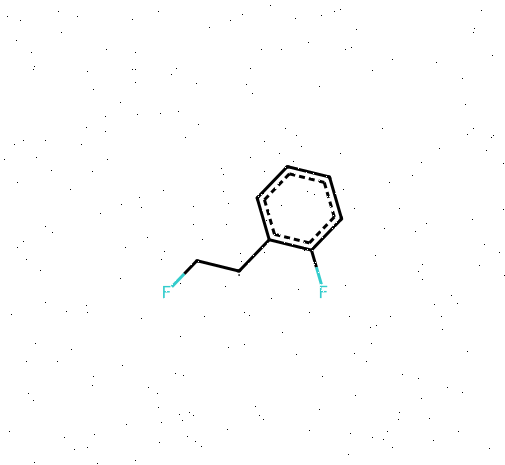 FC[CH]c1ccccc1F